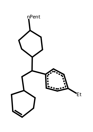 CCCCCC1CCC(C(CC2CC=CCC2)c2ccc(CC)cc2)CC1